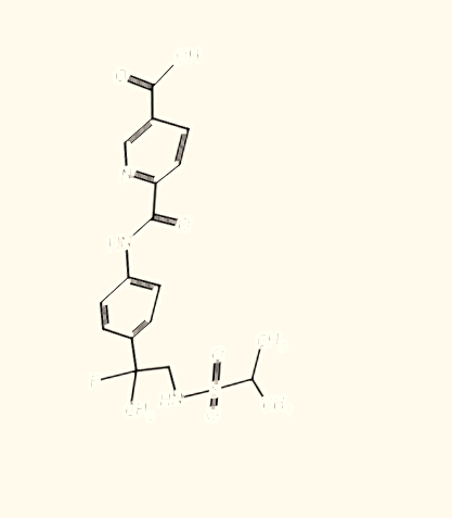 CC(C)S(=O)(=O)NCC(C)(F)c1ccc(NC(=O)c2ccc(C(=O)O)cn2)cc1